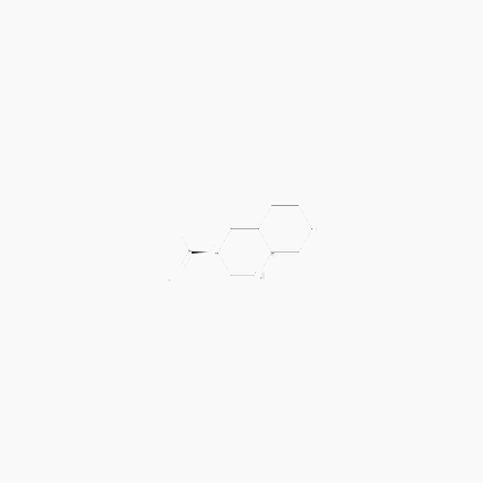 O=C(O)[C@@H]1CNC2CCCCC2C1